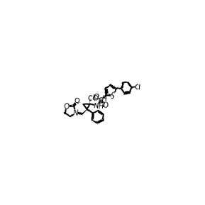 O=C1OCCN1C[C@@]1(c2ccccc2)C[C@]1(NS(=O)(=O)c1ccc(-c2ccc(Cl)cc2)s1)C(=O)O